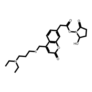 CCN(CC)CCCSCc1cc(=O)oc2cc(CC(=O)ON3C(=O)CCC3O)ccc12